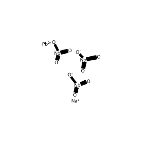 [Na+].[O]=[Nb](=[O])[O-].[O]=[Nb](=[O])[O-].[O]=[Nb](=[O])[O-].[Pb+2]